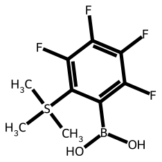 CS(C)(C)c1c(F)c(F)c(F)c(F)c1B(O)O